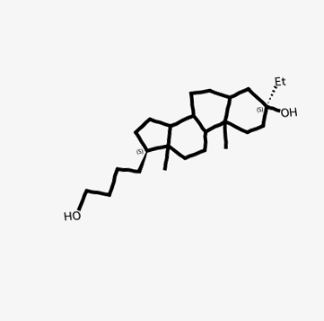 CC[C@]1(O)CCC2(C)C(CCC3C2CCC2(C)C3CC[C@@H]2CCCCO)C1